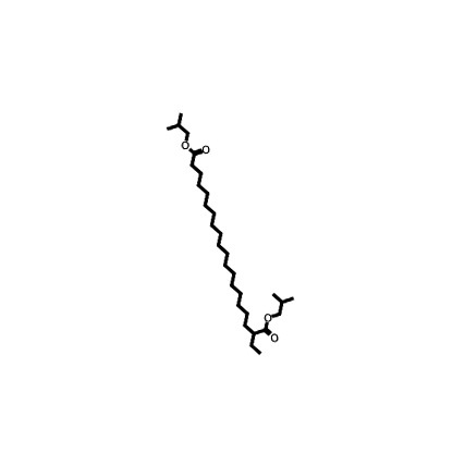 CCC(CCCCCCCCCCCCCCCCCC(=O)OCC(C)C)C(=O)OCC(C)C